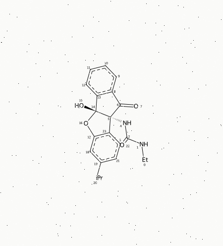 CCNC(=O)N[C@@]12C(=O)c3ccccc3[C@@]1(O)Oc1cc(C(C)C)ccc12